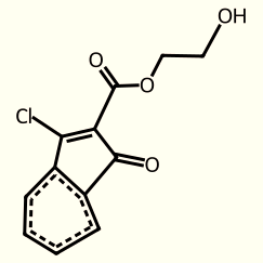 O=C(OCCO)C1=C(Cl)c2ccccc2C1=O